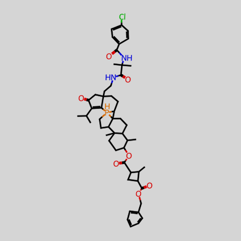 CC(C)C1=C2C(CCNC(=O)C(C)(C)NC(=O)c3ccc(Cl)cc3)(CCC3C45CCC6C(C)C(OC(=O)C7CC(C(=O)OCc8ccccc8)C7C)CCC6(C)C4CC[PH]235)CC1=O